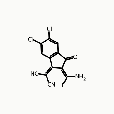 N#CC(C#N)=C1/C(=C(/N)I)C(=O)c2cc(Cl)c(Cl)cc21